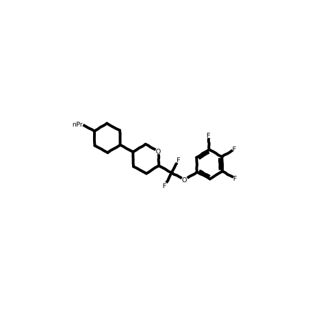 CCCC1CCC(C2CCC(C(F)(F)Oc3cc(F)c(F)c(F)c3)OC2)CC1